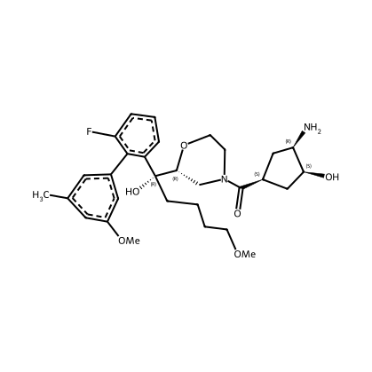 COCCCC[C@@](O)(c1cccc(F)c1-c1cc(C)cc(OC)c1)[C@H]1CN(C(=O)[C@H]2C[C@@H](N)[C@@H](O)C2)CCO1